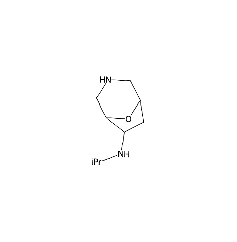 CC(C)NC1CC2CNCC1O2